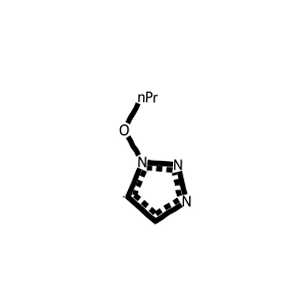 CCCOn1[c]cnn1